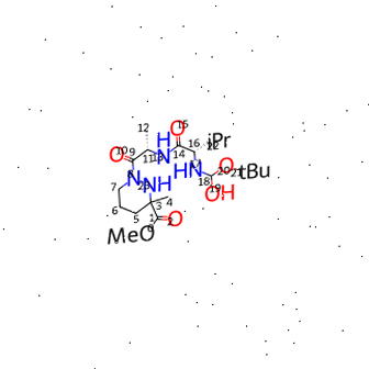 COC(=O)C1(C)CCCN(C(=O)[C@H](C)NC(=O)[C@@H](NC(O)OC(C)(C)C)C(C)C)N1